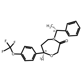 [2H][C@]1(c2ccc(OC(F)(F)F)cc2)CCN([C@H](C)c2ccccc2)C(=O)CO1